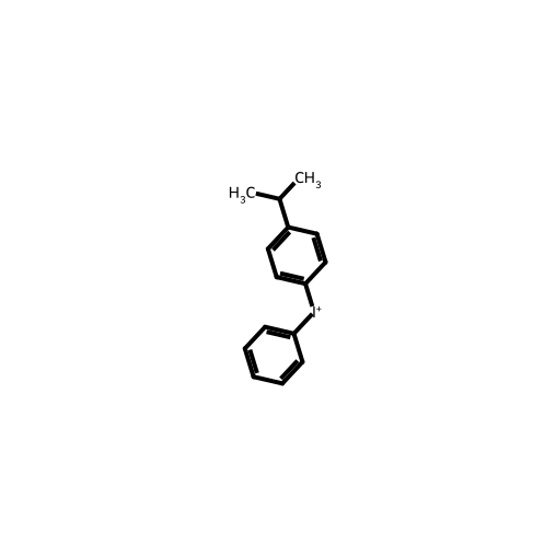 CC(C)c1ccc([I+]c2ccccc2)cc1